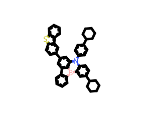 c1ccc2c(c1)B1c3cc(C4CCCCC4)ccc3N(c3ccc(C4CCCCC4)cc3)c3cc(-c4ccc5sc6ccccc6c5c4)cc-2c31